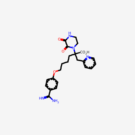 N=C(N)c1ccc(OCCCCC(Cc2ccccn2)(C(=O)O)N2CCNC(=O)C2=O)cc1